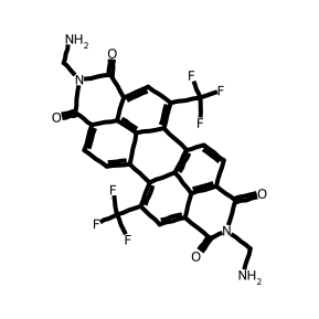 NCN1C(=O)c2ccc3c4c(C(F)(F)F)cc5c6c(ccc(c7c(C(F)(F)F)cc(c2c37)C1=O)c64)C(=O)N(CN)C5=O